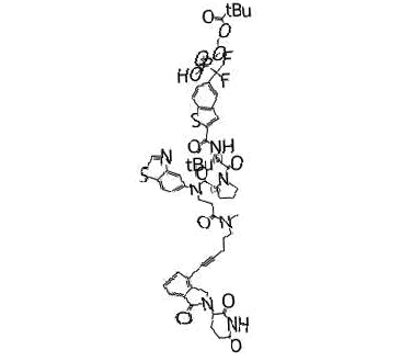 CN(CCCC#Cc1cccc2c1CN(C1CCC(=O)NC1=O)C2=O)C(=O)CCN(C(=O)[C@@H]1CCCN1C(=O)[C@@H](NC(=O)c1cc2cc(C(F)(F)P(=O)(O)OCOC(=O)C(C)(C)C)ccc2s1)C(C)(C)C)c1ccc2scnc2c1